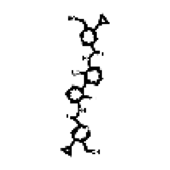 Cc1c(NC(=O)c2cc(C3CC3)c(CO)cn2)cccc1-c1cccc(NC(=O)c2cc(C3CC3)c(CO)cn2)c1C